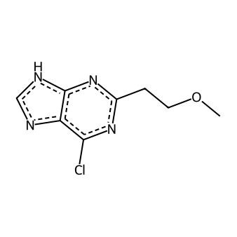 COCCc1nc(Cl)c2nc[nH]c2n1